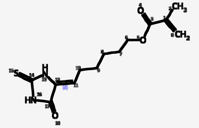 C=C(C)C(=O)OCCCCC/C=C1\NC(=S)NC1=O